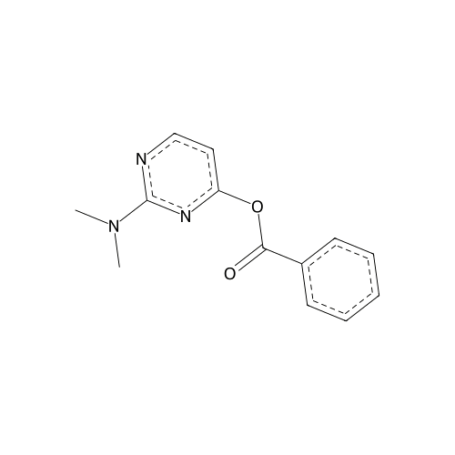 CN(C)c1nccc(OC(=O)c2ccccc2)n1